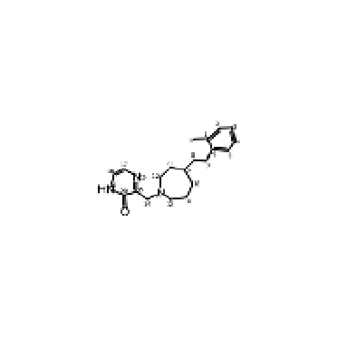 Cc1ccccc1CCC1CCCN(Cc2ncc[nH]c2=O)CC1